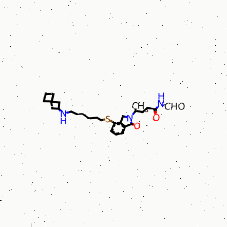 CC(CCC(=O)NC=O)N1Cc2c(SCCCCCCNC3CC4(CCC4)C3)cccc2C1=O